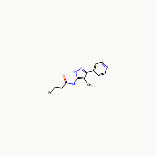 Cc1c(-c2ccncc2)n[nH]c1NC(=O)CCC(C)C